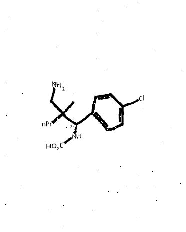 CCCC(C)(CN)[C@H](NC(=O)O)c1ccc(Cl)cc1